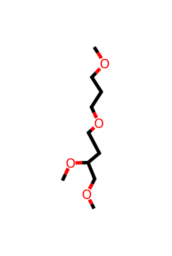 COCCCOCCC(COC)OC